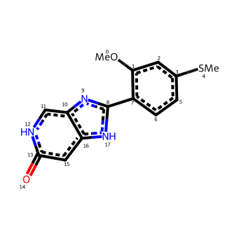 COc1cc(SC)ccc1-c1nc2c[nH]c(=O)cc2[nH]1